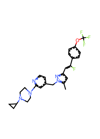 Cc1cc(C=C(F)c2ccc(OC(F)(F)F)cc2)nn1Cc1ccnc(N2CCN(C3CC3)CC2)c1